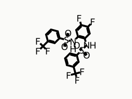 O=S(=O)(Nc1cc(F)c(F)cc1NS(=O)(=O)c1cccc(C(F)(F)F)c1)c1cccc(C(F)(F)F)c1